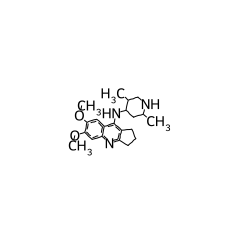 COc1cc2nc3c(c(NC4CC(C)NCC4C)c2cc1OC)CCC3